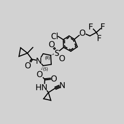 CC1(C(=O)N2C[C@H](S(=O)(=O)c3ccc(OCC(F)(F)F)cc3Cl)C[C@@H]2OC(=O)NC2(C#N)CC2)CC1